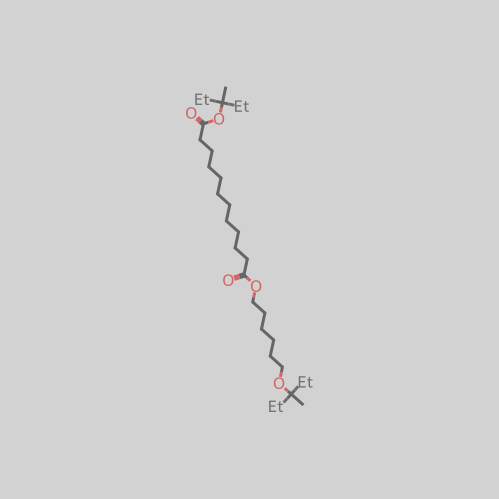 CCC(C)(CC)OCCCCCCOC(=O)CCCCCCCCCCC(=O)OC(C)(CC)CC